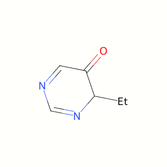 CCC1N=CN=CC1=O